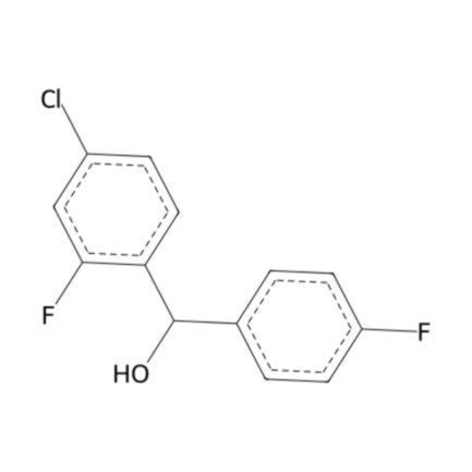 OC(c1ccc(F)cc1)c1ccc(Cl)cc1F